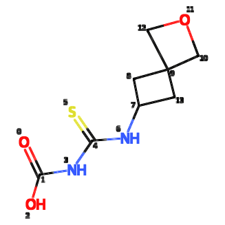 O=C(O)NC(=S)NC1CC2(COC2)C1